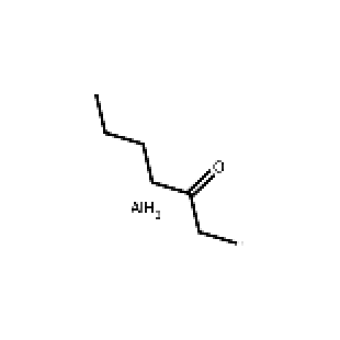 [AlH3].[CH2]CC(=O)CCCC